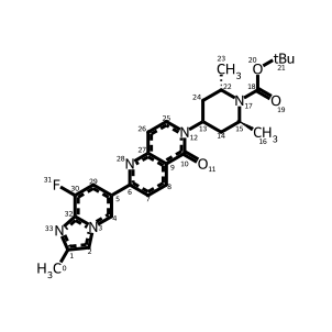 Cc1cn2cc(-c3ccc4c(=O)n(C5C[C@H](C)N(C(=O)OC(C)(C)C)[C@@H](C)C5)ccc4n3)cc(F)c2n1